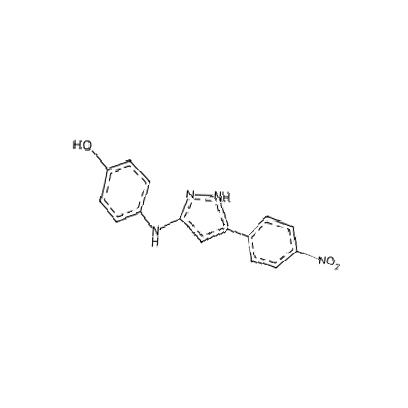 O=[N+]([O-])c1ccc(-c2cc(Nc3ccc(O)cc3)n[nH]2)cc1